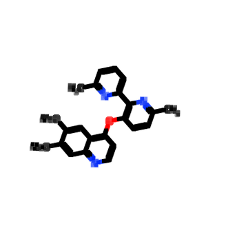 COc1cc2nccc(Oc3ccc(C)nc3-c3cccc(C)n3)c2cc1OC